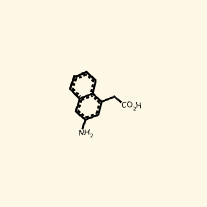 Nc1cc(CC(=O)O)c2ccccc2c1